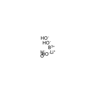 [B+3].[Li+].[OH-].[OH-].[OH-].[OH-]